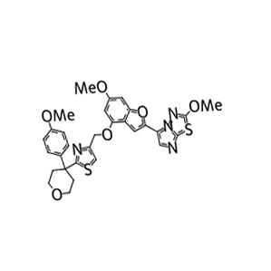 COc1ccc(C2(c3nc(COc4cc(OC)cc5oc(-c6cnc7sc(OC)nn67)cc45)cs3)CCOCC2)cc1